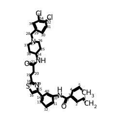 C=C/C=C(\C=C/C)C(=O)Nc1cccc(-c2csc(CCC(=O)NC3CCN(Cc4ccc(Cl)c(Cl)c4)CC3)n2)c1